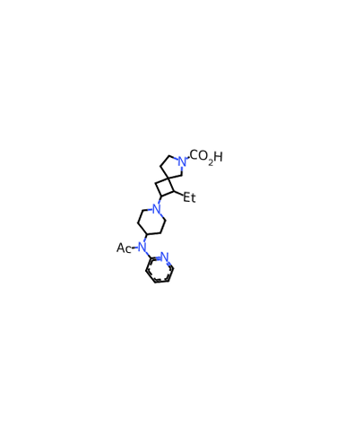 CCC1C(N2CCC(N(C(C)=O)c3ccccn3)CC2)CC12CCN(C(=O)O)C2